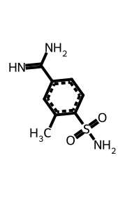 Cc1cc(C(=N)N)ccc1S(N)(=O)=O